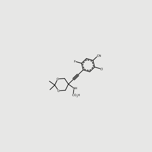 CC1(C)OCC(C#Cc2cc(Cl)c(C#N)cc2F)(NC(=O)O)CO1